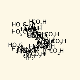 N[C@@H](CC(=O)O)C(=O)N[C@@H](CC(=O)O)C(=O)N[C@@H](CC(=O)O)C(=O)NCC(=O)N[C@@H](CO)C(=O)NCC(=O)N[C@@H](CCC(=O)O)C(=O)N[C@@H](CCC(=O)O)C(=O)N[C@@H](CCC(=O)O)C(=O)NCC(=O)N[C@@H](CO)C(=O)NCC(=O)N[C@@H](CCC(=O)O)C(=O)N[C@@H](CCC(=O)O)C(=O)N[C@@H](CCC(=O)O)C(=O)O